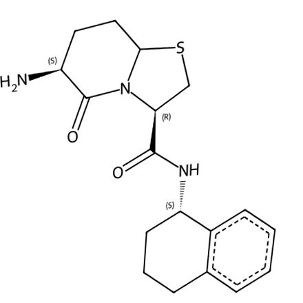 N[C@H]1CCC2SC[C@@H](C(=O)N[C@H]3CCCc4ccccc43)N2C1=O